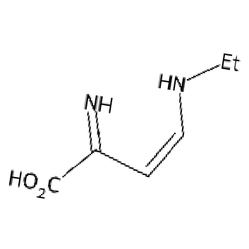 CCN/C=C\C(=N)C(=O)O